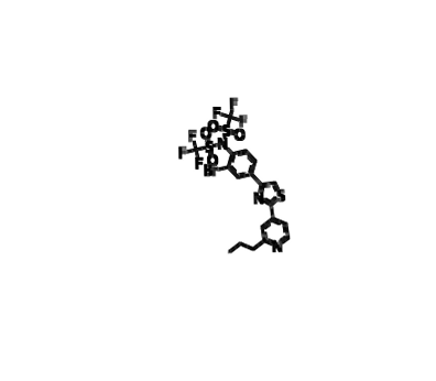 CCCc1cc(-c2nc(-c3ccc(N(S(=O)(=O)C(F)(F)F)S(=O)(=O)C(F)(F)F)c(Br)c3)cs2)ccn1